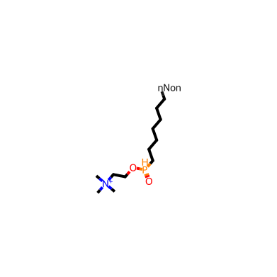 CCCCCCCCCCCCCCCC[PH](=O)OCC[N+](C)(C)C